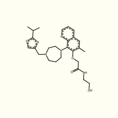 Cc1cc2cccnc2c(N2CCCN(Cc3csc(C(C)C)n3)CC2)c1OCC(=O)NCCO